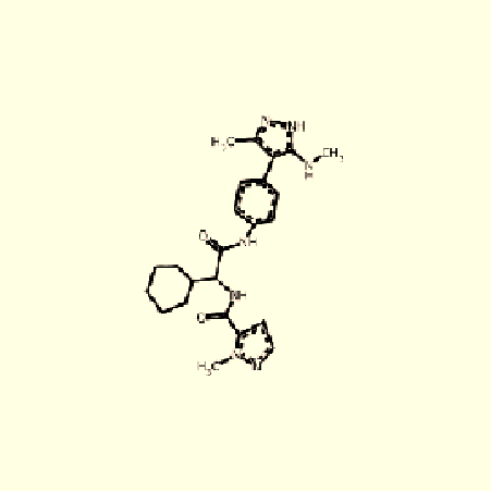 CNc1[nH]nc(C)c1-c1ccc(NC(=O)[C@@H](NC(=O)c2ccnn2C)C2CCCCC2)cc1